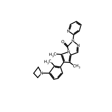 Cc1c(-c2c(C)c3cnn(-c4ccccn4)c(=O)n3c2C)cccc1N1CCC1